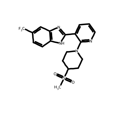 CS(=O)(=O)C1CCN(c2ncccc2-c2nc3cc(C(F)(F)F)ccc3[nH]2)CC1